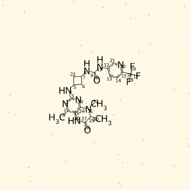 Cc1nc(NC2CC(NC(=O)Nc3ccc(C(F)(F)F)nc3)C2)nc2c1NC(=O)C(C)N2C